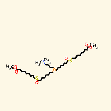 COC(=O)CCCCCCCCSC(=O)CCCCCCCP(CCCCCCCC(=O)SCCCCCCCCC(=O)OC)CCCCN(C)C